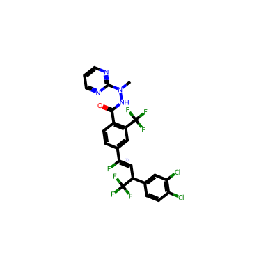 CN(NC(=O)c1ccc(/C(F)=C/C(c2ccc(Cl)c(Cl)c2)C(F)(F)F)cc1C(F)(F)F)c1ncccn1